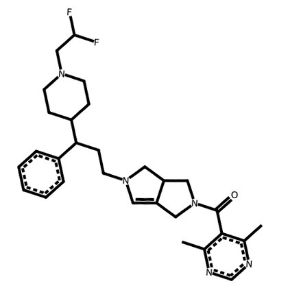 Cc1ncnc(C)c1C(=O)N1CC2=CN(CCC(c3ccccc3)C3CCN(CC(F)F)CC3)CC2C1